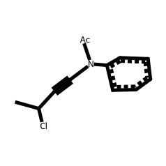 CC(=O)N(C#CC(C)Cl)c1ccccc1